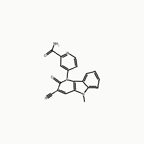 Cn1c2ccccc2c2c1cc(C#N)c(=O)n2-c1ccnc(C(N)=O)c1